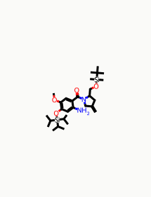 C=C1CC(CO[Si](C)(C)C(C)(C)C)N(C(=O)c2cc(OC)c(O[Si](C(C)C)(C(C)C)C(C)C)cc2N)C1